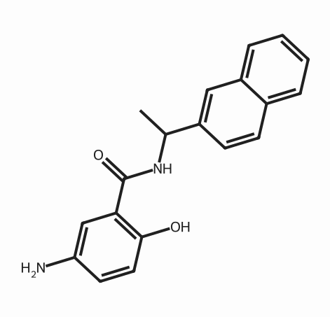 CC(NC(=O)c1cc(N)ccc1O)c1ccc2ccccc2c1